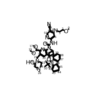 COCCNc1cc(NC(=O)N2c3nc(C(OC)OC)c(CN4CCN(C)CC4O)cc3C3(O[Si](c4ccccc4)(c4ccccc4)C(C)(C)C)CC2C3)ncc1C#N